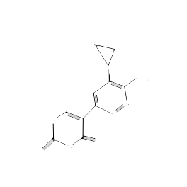 Cc1nnc(-c2c[nH]c(=O)[nH]c2=O)cc1[C@H]1C[C@@H]1I